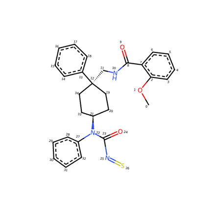 COc1ccccc1C(=O)NC[C@]1(c2ccccc2)CC[C@@H](N(C(=O)N=S)c2ccccc2)CC1